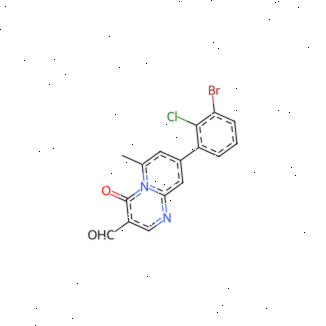 Cc1cc(-c2cccc(Br)c2Cl)cc2ncc(C=O)c(=O)n12